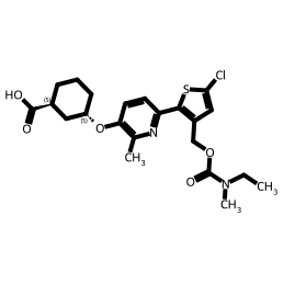 CCN(C)C(=O)OCc1cc(Cl)sc1-c1ccc(O[C@H]2CCC[C@H](C(=O)O)C2)c(C)n1